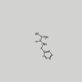 CC(C)C(O)C(I)NCc1ccccc1